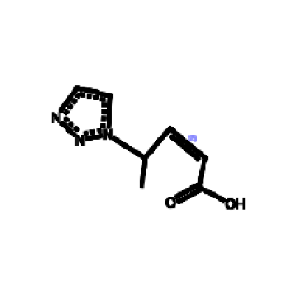 CC(/C=C\C(=O)O)n1ccnn1